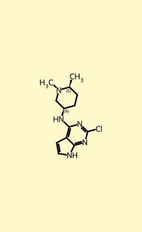 C[C@H]1CC[C@@H](Nc2nc(Cl)nc3[nH]ccc23)CN1C